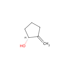 C=C1CCC[C@H]1O